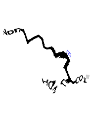 CCCCCCCCCCCCCCC/C=C\CC(C(=O)O)C(=O)O